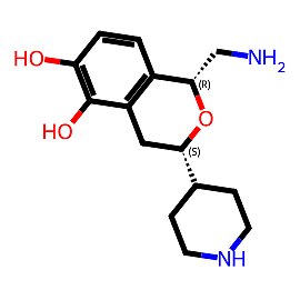 NC[C@@H]1O[C@H](C2CCNCC2)Cc2c1ccc(O)c2O